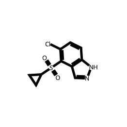 O=S(=O)(c1c(Cl)ccc2[nH]ncc12)C1CC1